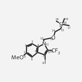 COc1ccc2c(c1)c(I)c(C(F)(F)F)n2COCC[Si](C)(C)C